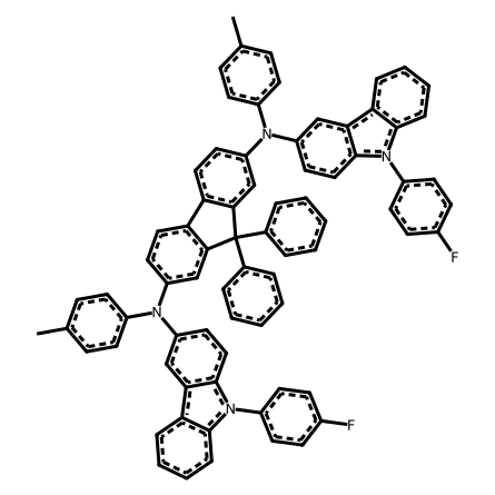 Cc1ccc(N(c2ccc3c(c2)C(c2ccccc2)(c2ccccc2)c2cc(N(c4ccc(C)cc4)c4ccc5c(c4)c4ccccc4n5-c4ccc(F)cc4)ccc2-3)c2ccc3c(c2)c2ccccc2n3-c2ccc(F)cc2)cc1